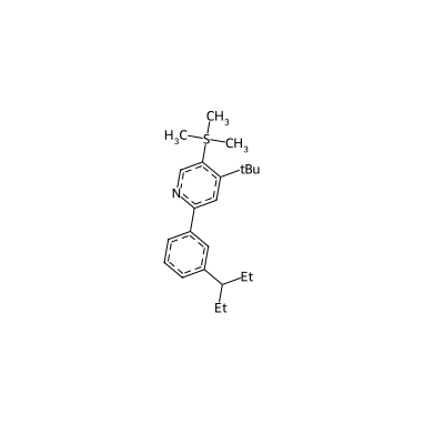 CCC(CC)c1cccc(-c2cc(C(C)(C)C)c(S(C)(C)C)cn2)c1